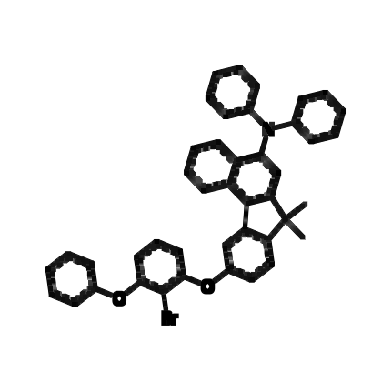 CC1(C)c2ccc(Oc3cccc(Oc4ccccc4)c3Br)cc2-c2c1cc(N(c1ccccc1)c1ccccc1)c1ccccc21